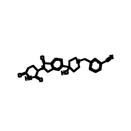 N#Cc1cccc(CN2CCC(O)(c3ccc4c(c3)CN(C3CCC(=O)NC3=O)C4=O)CC2)c1